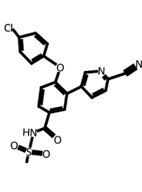 CS(=O)(=O)NC(=O)c1ccc(Oc2ccc(Cl)cc2)c(-c2ccc(C#N)nc2)c1